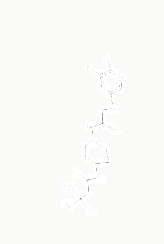 CC(C)(C)OC(=O)NC1CCN(NC(=O)COc2ccc(Cl)c(F)c2)CC1